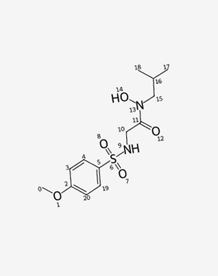 COc1ccc(S(=O)(=O)NCC(=O)N(O)CC(C)C)cc1